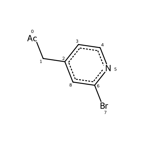 CC(=O)Cc1ccnc(Br)c1